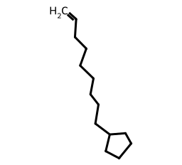 C=CCCCCCCCC1CCCC1